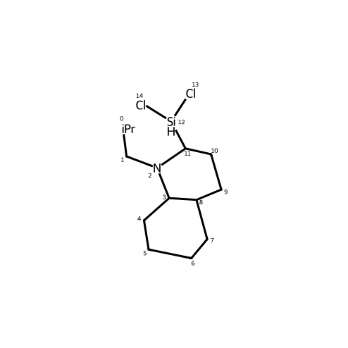 CC(C)CN1C2CCCCC2CCC1[SiH](Cl)Cl